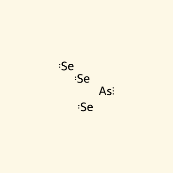 [As].[Se].[Se].[Se]